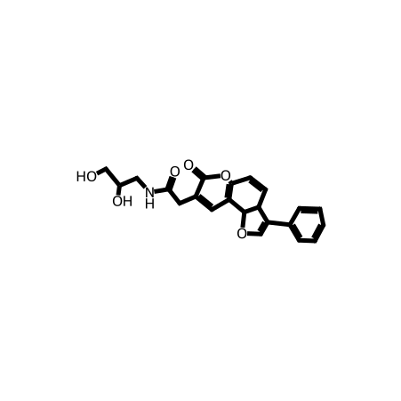 O=C(Cc1cc2c(oc1=O)C=CC1C(c3ccccc3)=COC21)NCC(O)CO